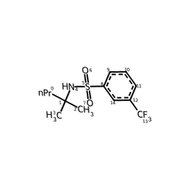 CCCC(C)(C)NS(=O)(=O)c1cccc(C(F)(F)F)c1